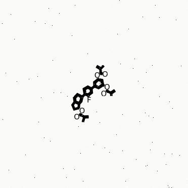 C=C(C)C(=O)Oc1cc(OC(=O)C(=C)C)cc(-c2ccc(-c3ccc4c(c3)C(OC(=O)C(=C)C)CC4)c(F)c2)c1